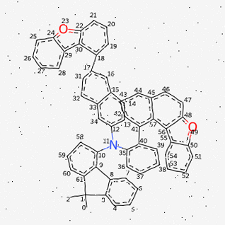 CC1(C)c2ccccc2-c2c(N(c3ccc4cc(-c5cccc6oc7ccccc7c56)ccc4c3)c3ccccc3-c3cccc4ccc5oc6ccccc6c5c34)cccc21